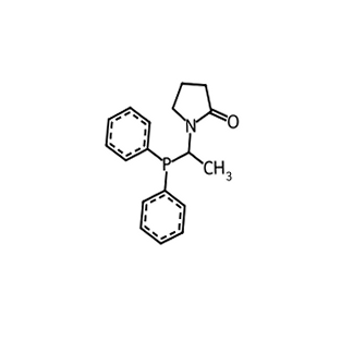 CC(N1CCCC1=O)P(c1ccccc1)c1ccccc1